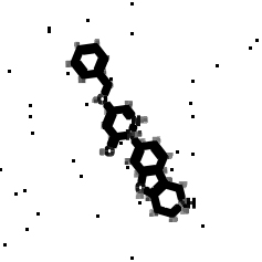 O=c1cc(OCc2ccccc2)cnn1-c1ccc2c3c(oc2c1)CCNC3